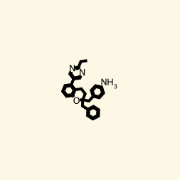 CCc1ncc(-c2cccc3c2CCC(Cc2ccccc2)(Cc2ccccc2)O3)cn1.N